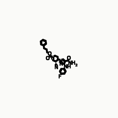 N#C[C@@H]1CN(C(=O)OCCCc2ccccc2)CC[C@@H]1n1cc(C(N)=O)c(Nc2ccc(F)cc2)n1